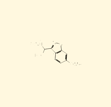 COc1ccc2c(C(C)NC(C)=O)noc2c1